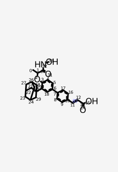 CC(Oc1ccc(-c2ccc(/C=C/C(=O)O)cc2)cc1C12CC3CC(CC(C3)C1)C2)C(=O)NO